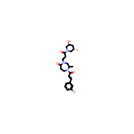 CC1CN(CCC(=O)N2C[C@@H](C)C[C@H](O)C2)C(=O)CCN1C(=O)C=Cc1cccc(Cl)c1